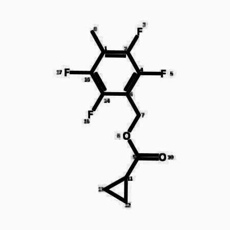 Cc1c(F)c(F)c(COC(=O)C2CC2)c(F)c1F